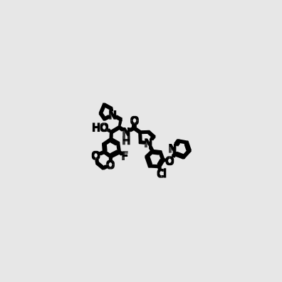 O=C(N[C@H](CN1CCCC1)[C@H](O)c1cc(F)c2c(c1)OCCO2)C1CCN(c2ccc(Cl)c(Oc3ccccn3)c2)C1